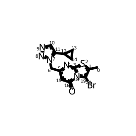 Cc1sc2nc(Cn3nncc3C3CC3)cc(=O)n2c1Br